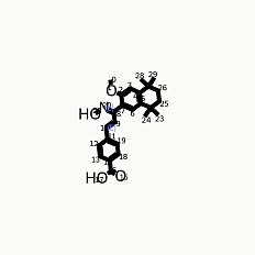 COc1cc2c(cc1C(/C=C/c1ccc(C(=O)O)cc1)=N/O)C(C)(C)CCC2(C)C